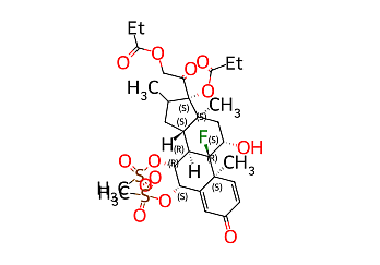 CCC(=O)OCC(=O)[C@]1(OC(=O)CC)C(C)C[C@H]2[C@@H]3[C@@H](OS(C)(=O)=O)[C@@H](OS(C)(=O)=O)C4=CC(=O)C=C[C@]4(C)[C@@]3(F)[C@@H](O)C[C@@]21C